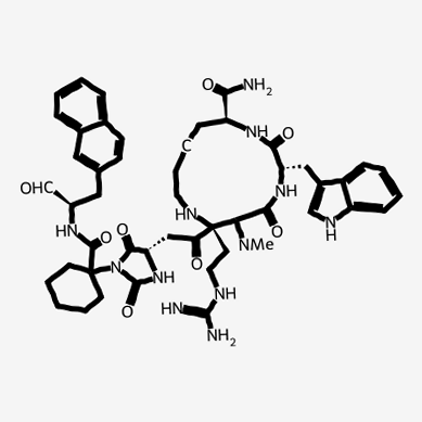 CNC1C(=O)N[C@@H](Cc2c[nH]c3ccccc23)C(=O)N[C@H](C(N)=O)CCCCN[C@@]1(CCNC(=N)N)C(=O)C[C@@H]1NC(=O)N(C2(C(=O)N[C@@H](C=O)Cc3ccc4ccccc4c3)CCCCC2)C1=O